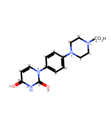 O=C(O)N1CCN(c2ccc(-n3ccc(=O)[nH]c3=O)cc2)CC1